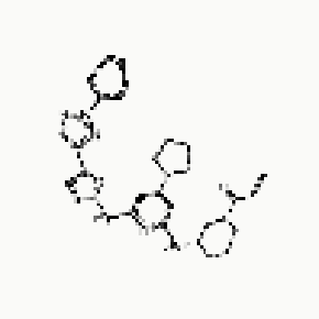 C=CC(=O)N1CCC[C@H](Nc2cc(N3CCCC3)cc(Nc3ncc(-c4nnn(-c5ccccc5)n4)s3)n2)C1